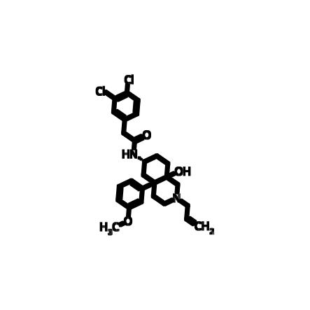 C=CCN1CCC2(c3cccc(OC)c3)C[C@H](NC(=O)Cc3ccc(Cl)c(Cl)c3)CCC2(O)C1